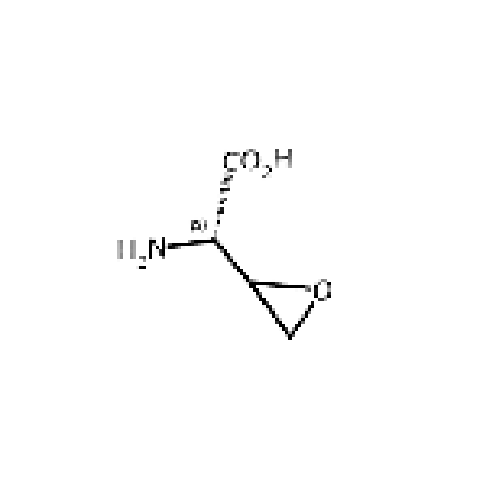 N[C@H](C(=O)O)C1CO1